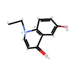 CCn1ccc(=O)c2cc(Br)ccc21